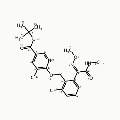 CNC(=O)/C(=N\OC)c1cccc(Cl)c1COc1ncc(C(=O)OC(C)(C)C)cc1Cl